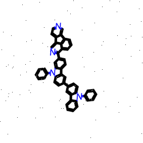 c1ccc(-n2c3ccccc3c3cc(-c4ccc5c(c4)c4ccc(-c6ncc7c8c(cccc68)-c6cnccc6-7)cc4n5-c4ccccc4)ccc32)cc1